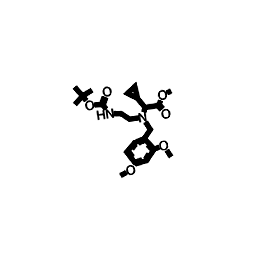 COC(=O)C(C1CC1)N(CCNC(=O)OC(C)(C)C)Cc1ccc(OC)cc1OC